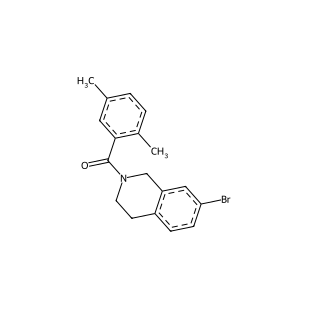 Cc1ccc(C)c(C(=O)N2CCc3ccc(Br)cc3C2)c1